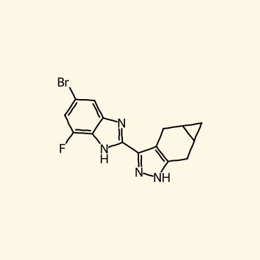 Fc1cc(Br)cc2nc(-c3n[nH]c4c3CC3CC3C4)[nH]c12